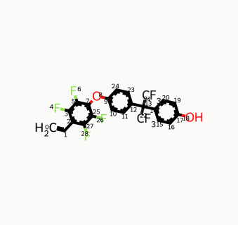 C=Cc1c(F)c(F)c(Oc2ccc(C(c3ccc(O)cc3)(C(F)(F)F)C(F)(F)F)cc2)c(F)c1F